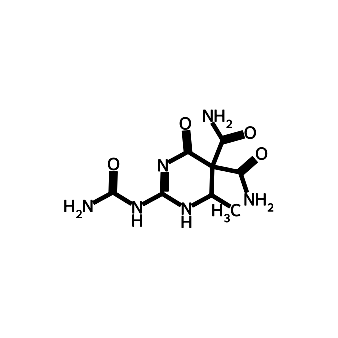 CC1NC(NC(N)=O)=NC(=O)C1(C(N)=O)C(N)=O